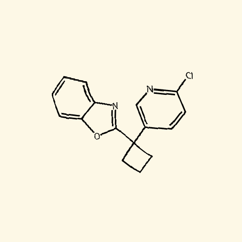 Clc1ccc(C2(c3nc4ccccc4o3)CCC2)cn1